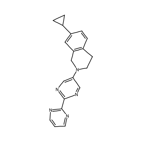 c1cnc(-c2ncc(N3CCc4ccc(C5CC5)cc4C3)cn2)nc1